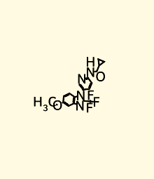 COc1ccc2c(c1)nc(C(F)(F)F)n2-c1ccc(NC(=O)C2CC2)nc1